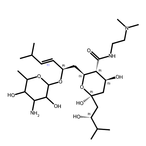 CC(C)/C=C/[C@@H](C[C@@H]1O[C@](O)(C[C@@H](O)C(C)C)C[C@H](O)[C@H]1C(=O)NCCN(C)C)OC1OC(C)C(O)C(N)C1O